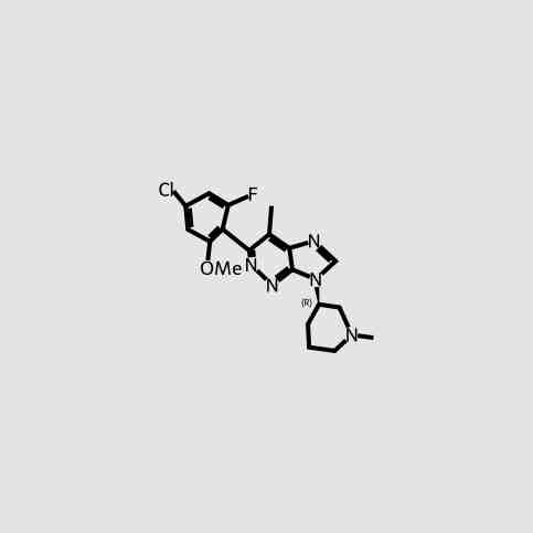 COc1cc(Cl)cc(F)c1-c1nnc2c(ncn2[C@@H]2CCCN(C)C2)c1C